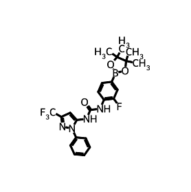 CC1(C)OB(c2ccc(NC(=O)Nc3cc(C(F)(F)F)nn3-c3ccccc3)c(F)c2)OC1(C)C